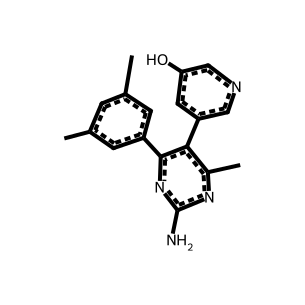 Cc1cc(C)cc(-c2nc(N)nc(C)c2-c2cncc(O)c2)c1